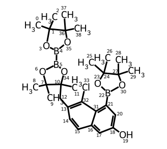 CC1(C)OB(B2OC(C)(C)C(C)(Cc3ccc4cc(O)cc(B5OC(C)(C)C(C)(C)O5)c4c3Cl)O2)OC1(C)C